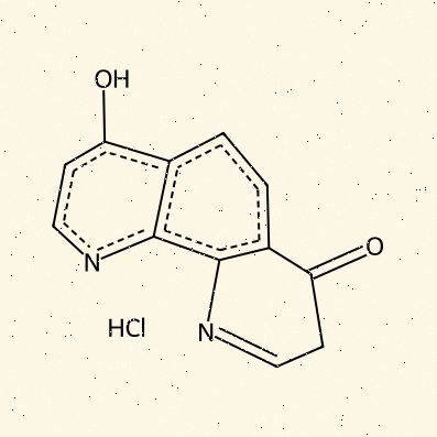 Cl.O=C1CC=Nc2c1ccc1c(O)ccnc21